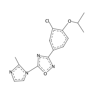 Cc1nccn1-c1nc(-c2ccc(OC(C)C)c(Cl)c2)no1